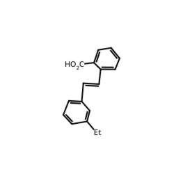 CCc1cccc(C=Cc2ccccc2C(=O)O)c1